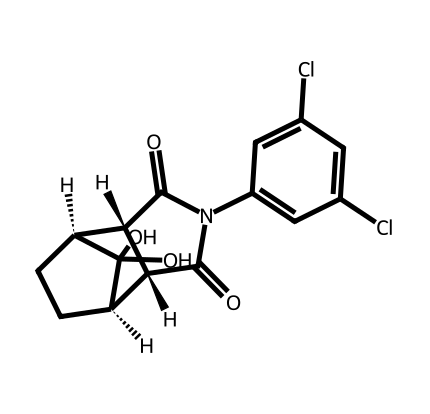 O=C1[C@@H]2[C@H](C(=O)N1c1cc(Cl)cc(Cl)c1)[C@H]1CC[C@@H]2C1(O)O